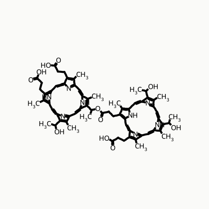 CC1=C(CCC(=O)O)c2cc3[nH]c(cc4nc(cc5[nH]c(cc1n2)c(C)c5C(C)OC(=O)CCc1c(C)c2cc5nc(cc6[nH]c(cc7nc(cc1[nH]2)C(CCC(=O)O)=C7C)c(C)c6C(C)O)C(C)=C5C(C)O)C(C)=C4C(C)O)c(C)c3CCC(=O)O